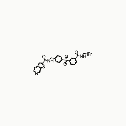 CC(C)CNC(=O)c1cccc(S(=O)(=O)c2ccc(CNC(=O)c3cc4ccncc4s3)cc2)c1